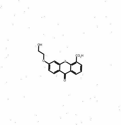 O=C(O)c1cccc2c(=O)c3ccc(OCCO)cc3sc12